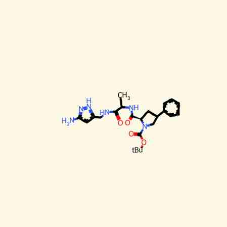 CC(NC(=O)[C@H]1CC(c2ccccc2)CN1C(=O)OC(C)(C)C)C(=O)NCc1cc(N)n[nH]1